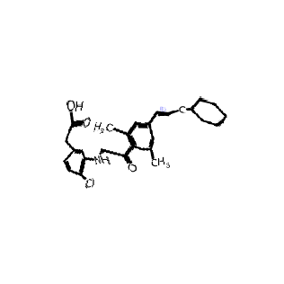 Cc1cc(/C=C/CC2CCCCC2)cc(C)c1C(=O)CNc1cc(CC(=O)O)ccc1Cl